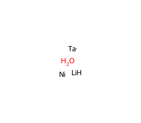 O.[LiH].[Ni].[Ta]